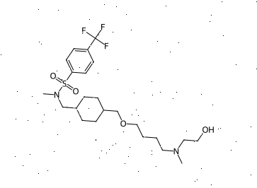 CN(CCO)CCCCOCC1CCC(CN(C)S(=O)(=O)c2ccc(C(F)(F)F)cc2)CC1